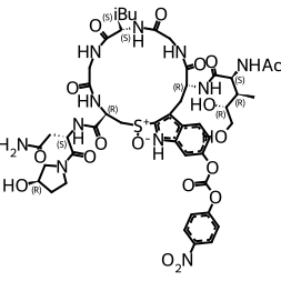 CC[C@H](C)[C@@H]1NC(=O)CNC(=O)[C@H](NC(=O)[C@@H](NC(C)=O)[C@@H](C)[C@@H](O)CO)Cc2c([nH]c3cc(OC(=O)Oc4ccc([N+](=O)[O-])cc4)ccc23)[S+]([O-])C[C@@H](C(=O)N[C@@H](CC(N)=O)C(=O)N2CC[C@@H](O)C2)NC(=O)CNC1=O